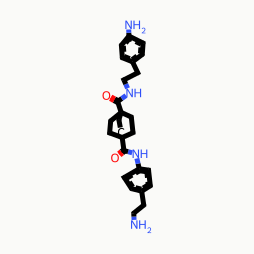 NCCc1ccc(NC(=O)C23CCC(C(=O)NCCc4ccc(N)cc4)(CC2)CC3)cc1